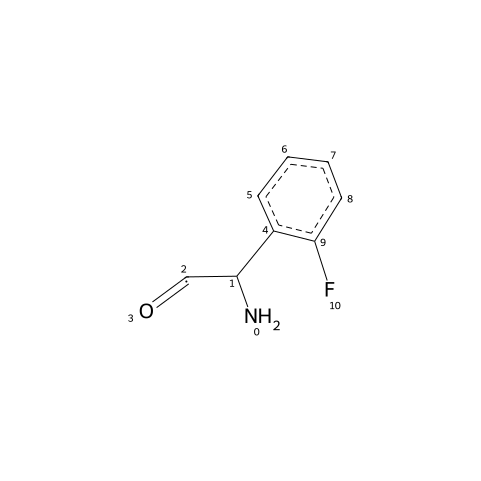 NC([C]=O)c1ccccc1F